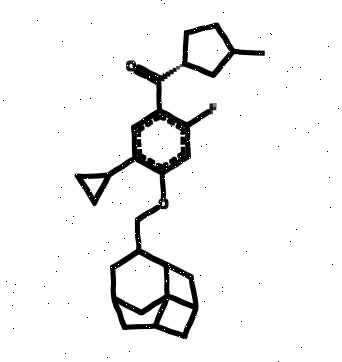 CC1CC[C@@H](C(=O)c2cc(C3CC3)c(OCC34CC5CC6CC(C3)C6(C5)C4)cc2F)C1